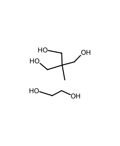 CC(CO)(CO)CO.OCCO